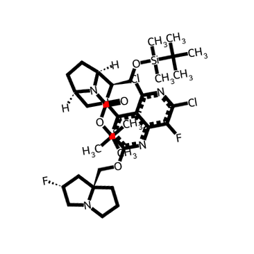 CC(C)(C)OC(=O)N1[C@@H]2CC[C@H]1[C@@H](CO[Si](C)(C)C(C)(C)C)N(c1nc(OC[C@@]34CCCN3C[C@H](F)C4)nc3c(F)c(Cl)nc(Cl)c13)C2